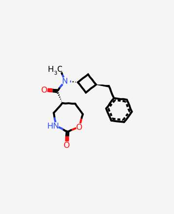 CN(C(=O)[C@@H]1CCOC(=O)NC1)[C@H]1C[C@H](Cc2ccccc2)C1